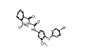 Cc1cc(NC(=O)NC(=O)c2ccccc2[N+](=O)[O-])ccc1Oc1ncc(Br)cn1